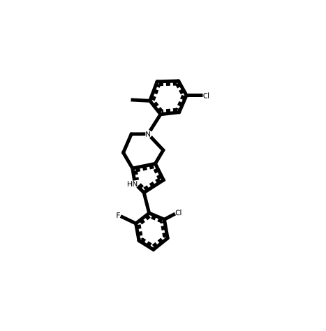 Cc1ccc(Cl)cc1N1CCc2[nH]c(-c3c(F)cccc3Cl)cc2C1